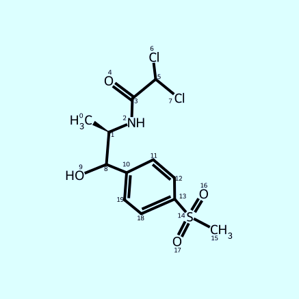 C[C@@H](NC(=O)C(Cl)Cl)C(O)c1ccc(S(C)(=O)=O)cc1